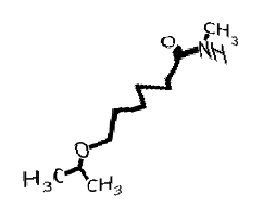 CNC(=O)CCCCCOC(C)C